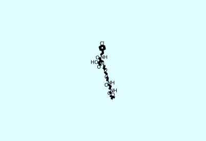 CC(C)(C)OC(=O)NCCC(=O)NCCOCCOCCN1CC(C(=O)NCCc2ccc(Cl)cc2)=C(O)C1=O